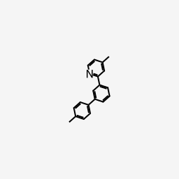 Cc1ccc(-c2cccc(-c3cc(C)ccn3)c2)cc1